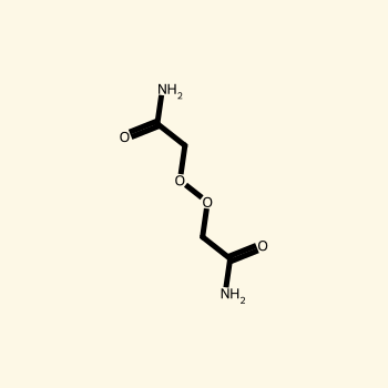 NC(=O)COOCC(N)=O